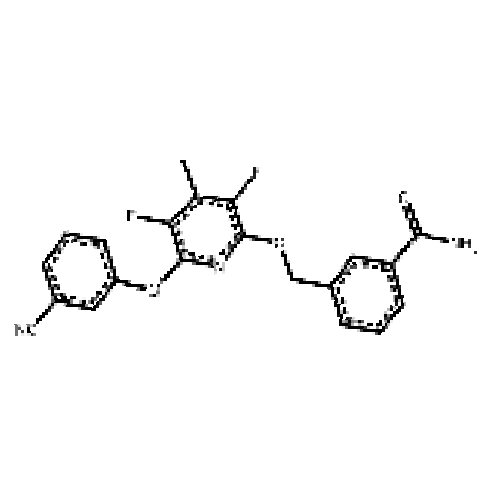 Cc1c(F)c(OCc2cccc(C(N)=O)c2)nc(Oc2cccc(C#N)c2)c1F